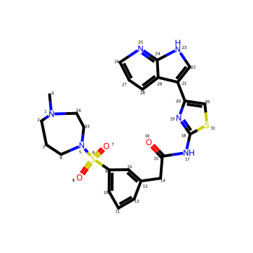 CN1CCCN(S(=O)(=O)c2cccc(CC(=O)Nc3nc(-c4c[nH]c5ncccc45)cs3)c2)CC1